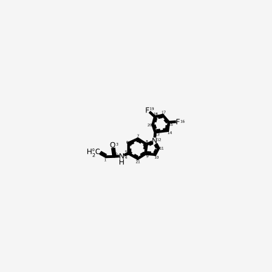 C=CC(=O)Nc1ccc2c(ccn2-c2cc(F)cc(F)c2)c1